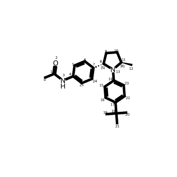 CC(=O)Nc1ccc([C@@H]2CC[C@@H](C)N2c2ccc(C(C)(C)C)cc2)cc1